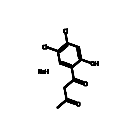 CC(=O)CC(=O)c1cc(Cl)c(Cl)cc1O.[NaH]